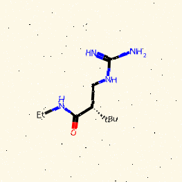 CCNC(=O)[C@H](CNC(=N)N)C(C)(C)C